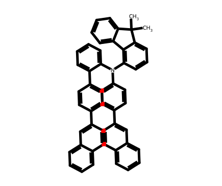 CC1(C)c2ccccc2-c2c(N(c3ccc(-c4ccc5ccccc5c4)cc3)c3ccccc3-c3ccc(-c4ccc5ccccc5c4)cc3)cccc21